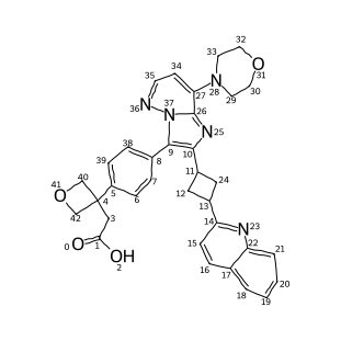 O=C(O)CC1(c2ccc(-c3c(C4CC(c5ccc6ccccc6n5)C4)nc4c(N5CCOCC5)ccnn34)cc2)COC1